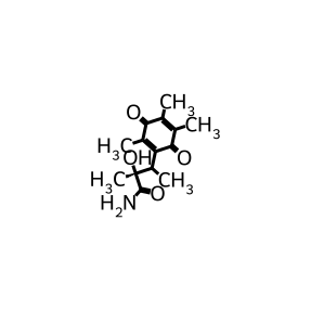 CC1=C(C)C(=O)C(C(C)[C@@](C)(O)C(N)=O)=C(C)C1=O